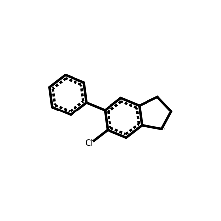 Clc1cc2c(cc1-c1ccccc1)CC[CH]2